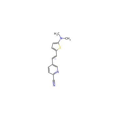 CN(C)c1ccc(/C=C/c2ccc(C#N)nc2)s1